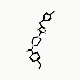 CCc1ccc(C(=O)N2CCN(c3nc(Cc4ccc(C)cc4)ns3)CC2)cc1